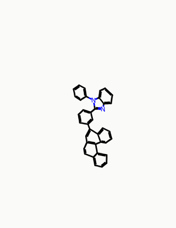 c1ccc(-n2c(-c3cccc(-c4cc5ccc6ccccc6c5c5ccccc45)c3)nc3ccccc32)cc1